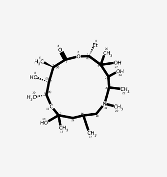 CC[C@H]1OC(=O)[C@H](C)[C@@H](O)[C@@H](C)CC(C)(O)CC(C)CN(C)C(C)C(O)C1(C)O